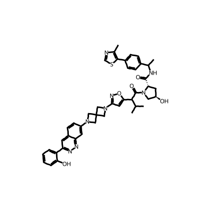 Cc1ncsc1-c1ccc(C(C)NC(=O)[C@@H]2C[C@@H](O)CN2C(=O)C(c2cc(N3CC4(CN(c5ccc6cc(-c7ccccc7O)nnc6c5)C4)C3)no2)C(C)C)cc1